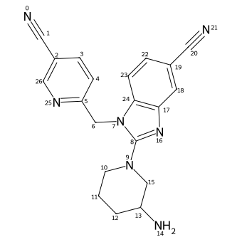 N#Cc1ccc(Cn2c(N3CCCC(N)C3)nc3cc(C#N)ccc32)nc1